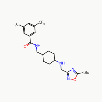 CC(C)(C)c1nc(CNC2CCC(CNC(=O)c3cc(C(F)(F)F)cc(C(F)(F)F)c3)CC2)no1